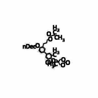 C=C(C)C(=O)OCCCc1cc(-c2cc(C)c(OCC3(C)COC(=O)OC3)c(C)c2)ccc1OCCCCCCCCCC